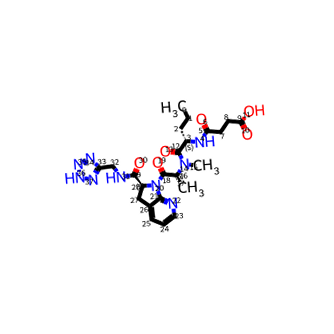 CCC[C@H](NC(=O)CCC(=O)O)C(=O)N(C)[C@@H](C)C(=O)N1c2ncccc2C[C@H]1C(=O)NCc1nn[nH]n1